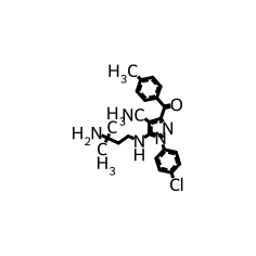 Cc1ccc(C(=O)c2nn(-c3ccc(Cl)cc3)c(NCCC(C)(C)N)c2C#N)cc1